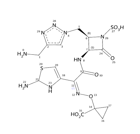 NCc1cn(C[C@@H]2[C@H](NC(=O)/C(=N\OC3(C(=O)O)CC3)C3=CSC(N)N3)C(=O)N2S(=O)(=O)O)nn1